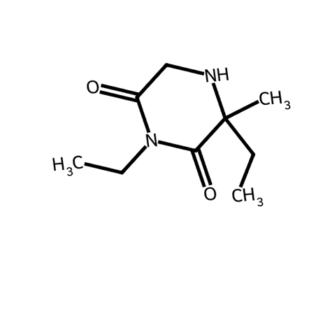 CCN1C(=O)CNC(C)(CC)C1=O